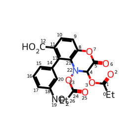 CCC(=O)OC1C(=O)Oc2ccc(C(=O)O)c(-c3cccc([N+](=O)[O-])c3)c2N1OC(=O)CC